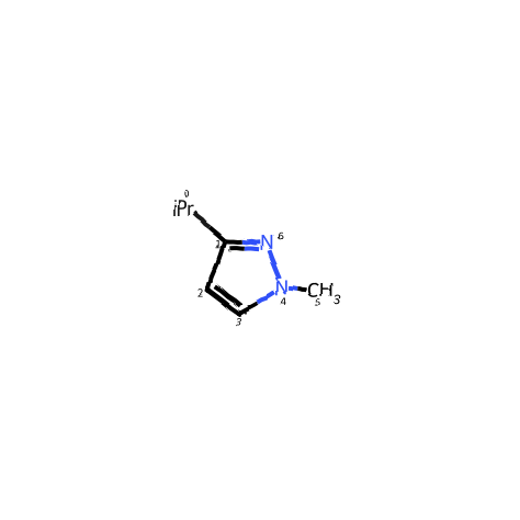 CC(C)c1c[c]n(C)n1